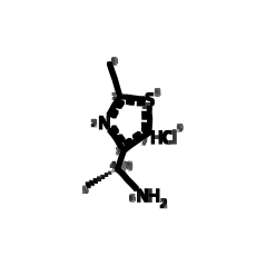 Cc1nc([C@@H](C)N)cs1.Cl